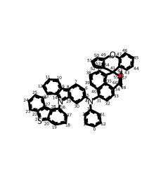 c1ccc(N(c2ccc3c4ccccc4n(-c4cccc5sc6ccccc6c45)c3c2)c2ccc3c4c(cccc24)C2(c4ccccc4Oc4ccccc42)c2ccccc2-3)cc1